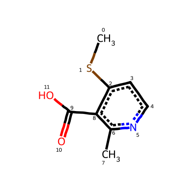 CSc1ccnc(C)c1C(=O)O